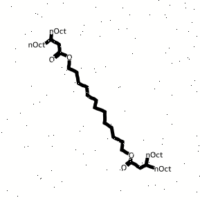 CCCCCCCCC(CCCCCCCC)CC(=O)OCCCCCCCCCCCCCOC(=O)CC(CCCCCCCC)CCCCCCCC